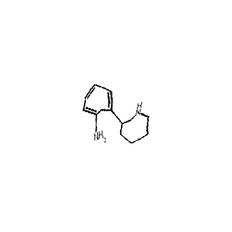 Nc1ccccc1C1CCCCN1